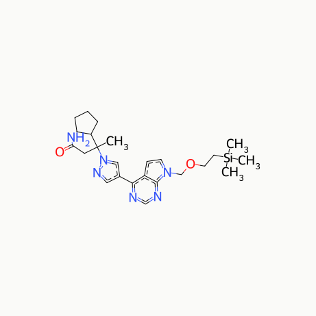 CC(CC(N)=O)(C1CCCC1)n1cc(-c2ncnc3c2ccn3COCC[Si](C)(C)C)cn1